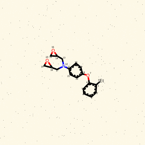 CCc1ccccc1Oc1ccc(N(CC2CO2)CC2CO2)cc1